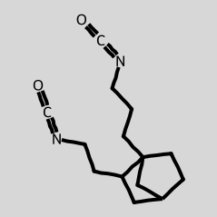 O=C=NCCCC12CCC(CC1CCN=C=O)C2